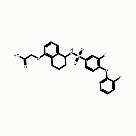 O=C(O)COc1cccc2c1CCCC2NS(=O)(=O)c1ccc(Oc2ccccc2Cl)c(Cl)c1